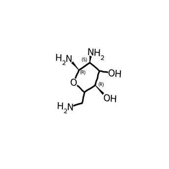 NCC1O[C@@H](N)[C@@H](N)C(O)[C@H]1O